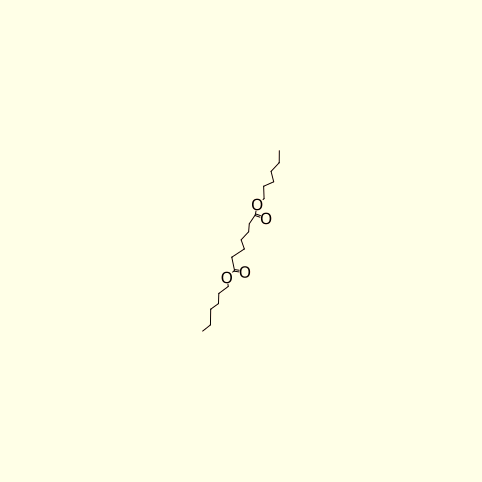 CCCCCCOC(=O)CCCCCC(=O)OCCCCCC